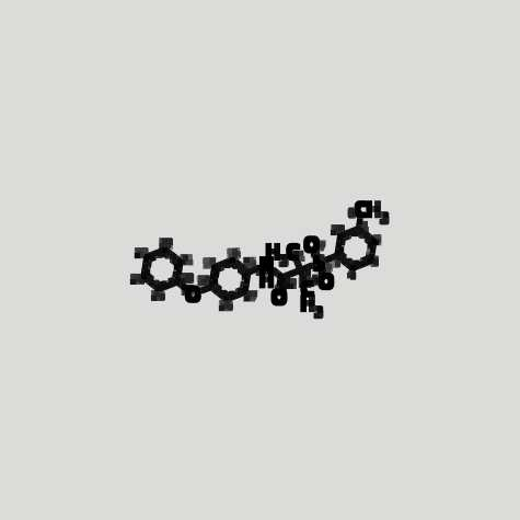 Cc1cccc(S(=O)(=O)C(C)(C)C(=O)Nc2ccc(Oc3ccccc3)cc2)c1